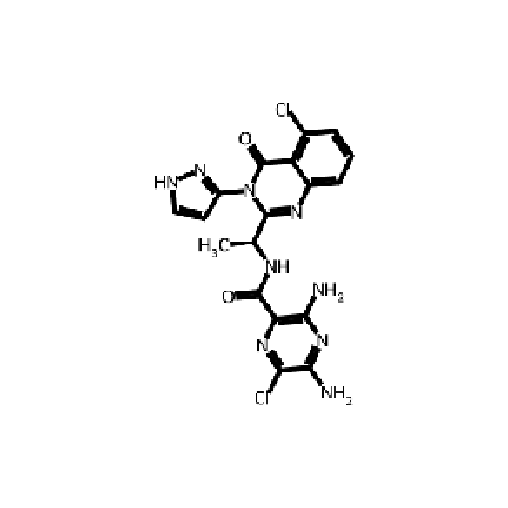 C[C@H](NC(=O)c1nc(Cl)c(N)nc1N)c1nc2cccc(Cl)c2c(=O)n1-c1cc[nH]n1